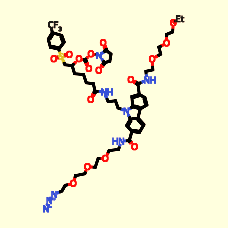 CCOCCOCCOCCNC(=O)c1ccc2c3ccc(C(=O)NCCOCCOCCOCCN=[N+]=[N-])cc3n(CCCNC(=O)CCCCC(CS(=O)(=O)c3ccc(C(F)(F)F)cc3)OC(=O)ON3C(=O)CCC3=O)c2c1